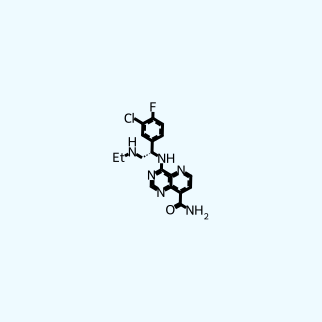 CCNC[C@@H](Nc1ncnc2c(C(N)=O)ccnc12)c1ccc(F)c(Cl)c1